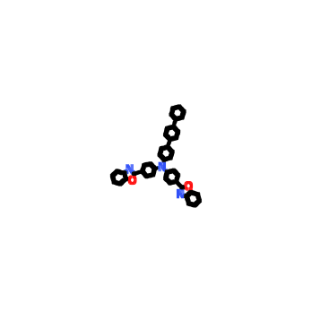 c1ccc(-c2ccc(-c3ccc(N(c4ccc(-c5nc6ccccc6o5)cc4)c4ccc(-c5nc6ccccc6o5)cc4)cc3)cc2)cc1